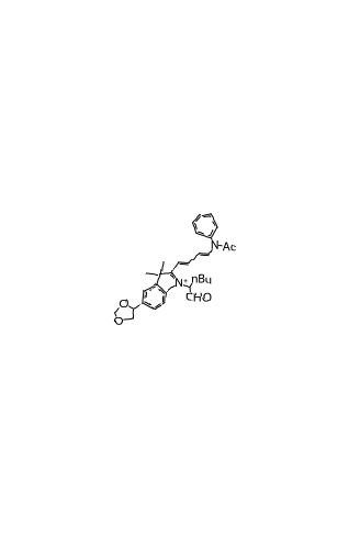 CCCCC(C=O)[N+]1=C(/C=C/C=C/N(C(C)=O)c2ccccc2)C(C)(C)c2cc(C3COCO3)ccc21